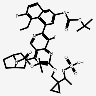 CCc1c(F)ccc2cc(NC(=O)OC(C)(C)C)cc(-c3ncc4c(N5CC6CCC(C5)N6C(=O)OC(C)(C)C)nc(OCC5(C(C)OS(=O)(=O)O)CC5)nc4c3F)c12